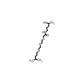 CC(C)CCCOCCOCCOCC(=O)NCCCC(C)S